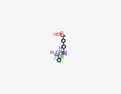 Cc1noc(-c2ccc(-c3ccc(C4(CC(=O)O)CC4)cc3)cc2)c1NC(C)CCc1c(F)cccc1Cl